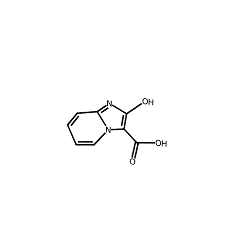 O=C(O)c1c(O)nc2ccccn12